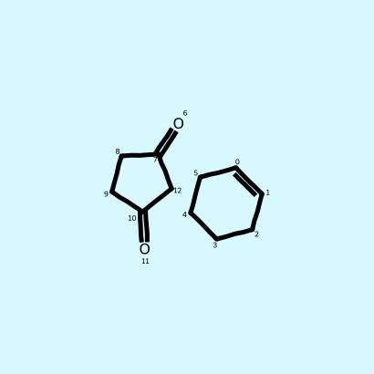 C1=CCCCC1.O=C1CCC(=O)C1